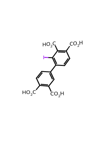 O=C(O)c1ccc(-c2ccc(C(=O)O)c(C(=O)O)c2I)cc1C(=O)O